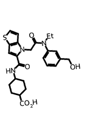 CCN(C(=O)Cn1c(C(=O)NC2CCC(C(=O)O)CC2)cc2sccc21)c1cccc(CO)c1